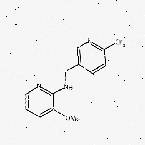 COc1cccnc1NCc1ccc(C(F)(F)F)nc1